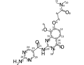 COc1c(OCCC(=O)N(C)C)ccc2c(=O)n(C)c(NC(=O)c3cnc(N)nc3)nc12